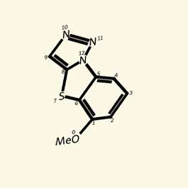 COc1cccc2c1sc1cnnn12